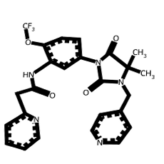 CC1(C)C(=O)N(c2ccc(OC(F)(F)F)c(NC(=O)Cc3ccccn3)c2)C(=O)N1Cc1ccncc1